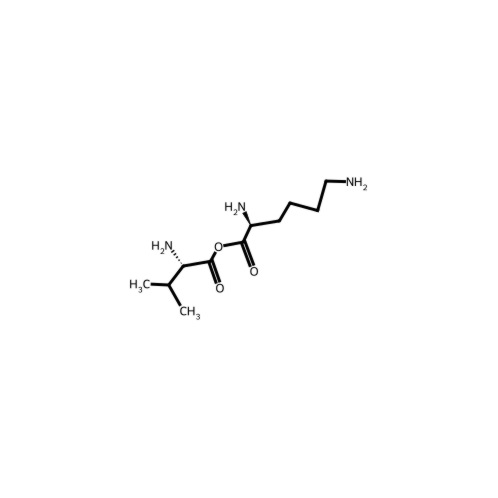 CC(C)[C@H](N)C(=O)OC(=O)[C@@H](N)CCCCN